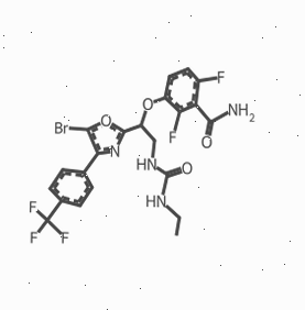 CCNC(=O)NCC(Oc1ccc(F)c(C(N)=O)c1F)c1nc(-c2ccc(C(F)(F)F)cc2)c(Br)o1